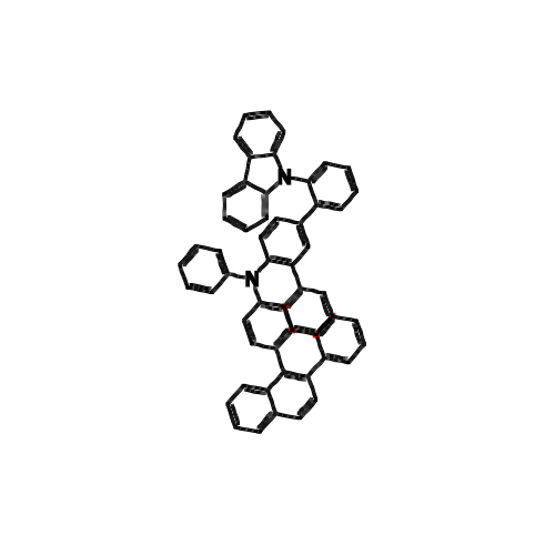 c1ccc(-c2cc(-c3ccccc3-n3c4ccccc4c4ccccc43)ccc2N(c2ccccc2)c2ccc(-c3c(-c4ccccc4)ccc4ccccc34)cc2)cc1